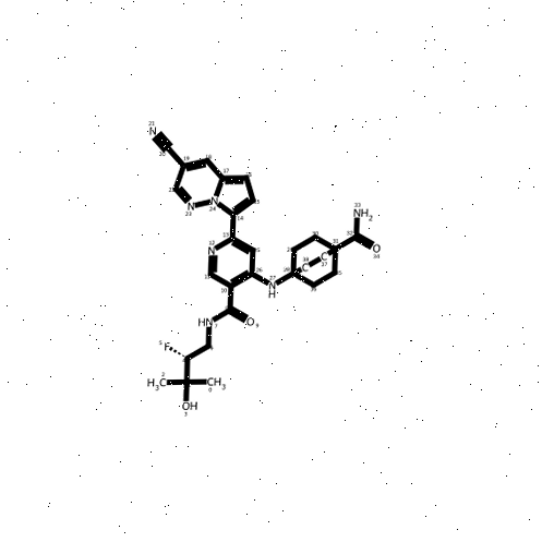 CC(C)(O)[C@H](F)CNC(=O)c1cnc(-c2ccc3cc(C#N)cnn23)cc1NC12CCC(C(N)=O)(CC1)CC2